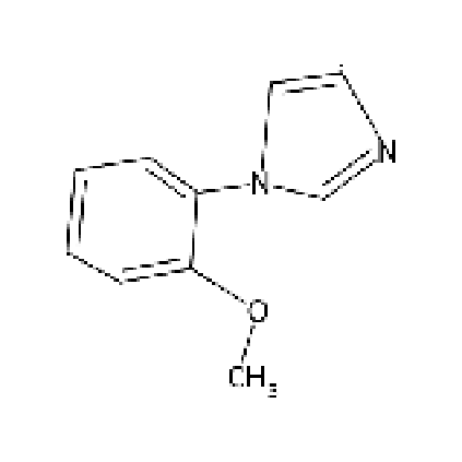 COc1ccccc1-n1c[c]nc1